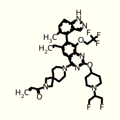 C=CC(=O)N1CC2(CCN(c3nc(OC4CCN(C(CF)CF)CC4)nc4c(OCC(F)(F)F)c(-c5c(C)ccc6[nH]ncc56)c(C=C)cc34)CC2)C1